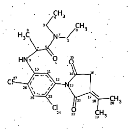 CCN(CC)C(=O)C(C)Nc1cc(N2C(=O)CC(=C(C)C)C2=O)c(Cl)cc1Cl